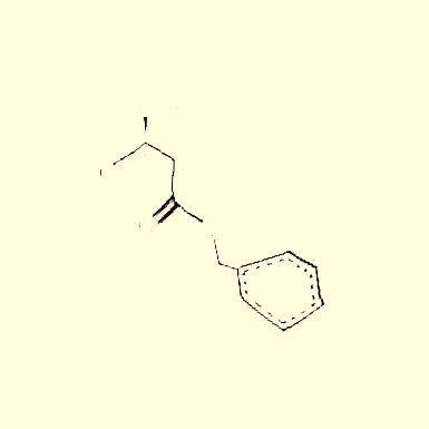 O=C(C[C@@H](F)C(=O)O)OCc1ccccc1